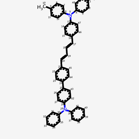 Cc1ccc(N(c2ccc(C)cc2)c2ccc(C=CC=Cc3ccc(-c4ccc(N(c5ccccc5)c5ccccc5)cc4)cc3)cc2)cc1